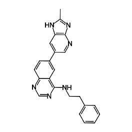 Cc1nc2ncc(-c3ccc4ncnc(NCCc5ccccc5)c4c3)cc2[nH]1